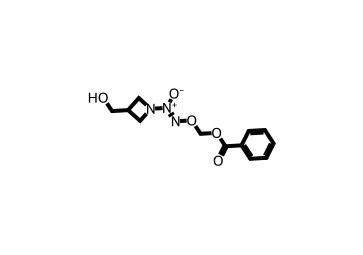 O=C(OCON=[N+]([O-])N1CC(CO)C1)c1ccccc1